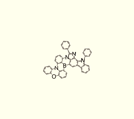 c1ccc(-c2nc3c4c(cc5c6ccccc6n(-c6ccccc6)c53)B3c5cccc6c5N(c5ccccc5O6)c5cccc(c53)-n24)cc1